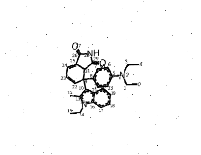 CCN(CC)c1ccc(C2(c3c(C)n(CC)c4ccccc34)C=CC=C3C(=O)NC(=O)C32)cc1